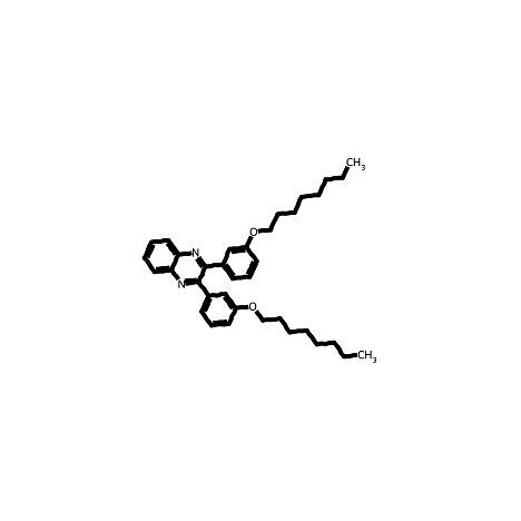 CCCCCCCCOc1cccc(-c2nc3ccccc3nc2-c2cccc(OCCCCCCCC)c2)c1